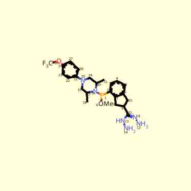 COP(c1cccc2c1CC(/C(=N/N)NN)C2)N1C(C)CN(c2ccc(OC(F)(F)F)cc2)CC1C